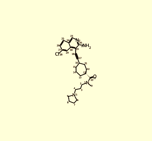 CN(CCCN1CCCC1)C(=O)[C@@H]1CCCC(C#Cc2c(N)ncc3ccc(Cl)cc23)CC1